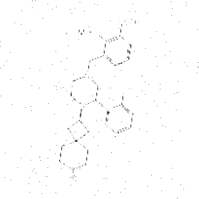 COc1cccc(CN2CCN(C3CC4(CCNCC4)C3)C(c3ccccc3C(C)C)C2)c1OC